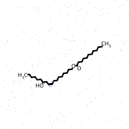 CCCCCCCCCCCC(=O)OCCCCCCCC/C=C\C[C@H](O)CCCCCC